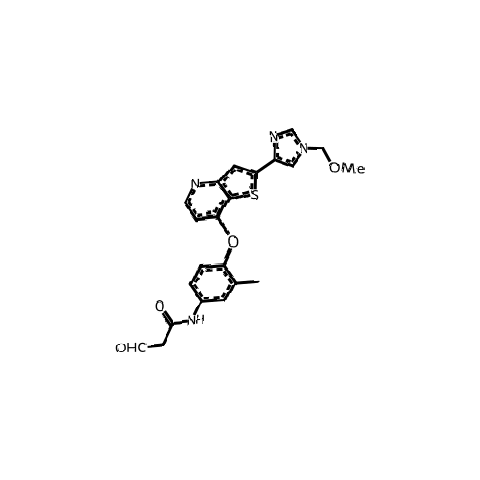 COCn1cnc(-c2cc3nccc(Oc4ccc(NC(=O)CC=O)cc4C)c3s2)c1